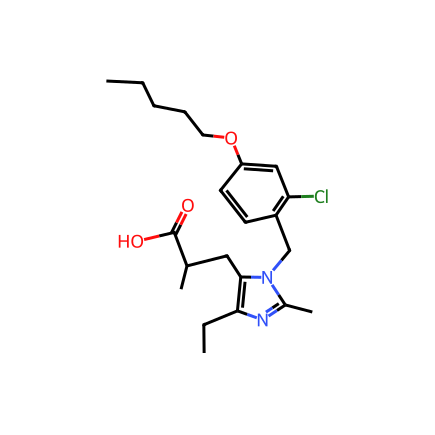 CCCCCOc1ccc(Cn2c(C)nc(CC)c2CC(C)C(=O)O)c(Cl)c1